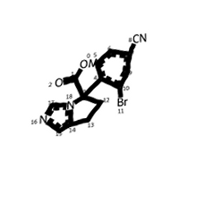 COC(=O)C1(c2ccc(C#N)cc2Br)CCc2cncn21